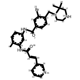 Cc1ccc(NC(=O)c2ccc(CN3CCNCC3(C)C)c(Br)c2)cc1NC(=O)C=Cc1cccnc1